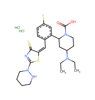 CCN(CC)C1CCN(C(=O)O)C(c2cc(F)ccc2C=C2SC(N3CCCCN3)=NC2=S)C1.Cl.Cl